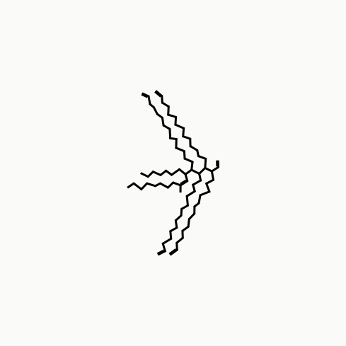 C=CCCCCCCCCCCCCC(C=C)C(CCCCCCCCCCCCC=C)C(CCCCCCCCCCCCC=C)C(CCCCCCCCCCCCC=C)C(C=C(C)CCCCCCCC)CCCCCCC